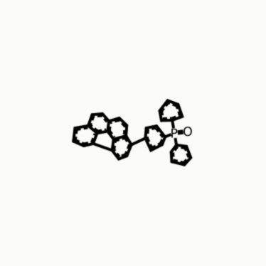 O=P(c1ccccc1)(c1ccccc1)c1ccc(-c2ccc3c4c2ccc2ccc5cccc-3c5c24)cc1